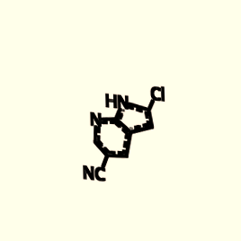 N#Cc1cnc2[nH]c(Cl)cc2c1